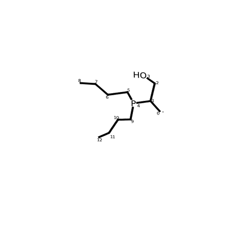 [CH2]C(CO)P(CCCC)CCCC